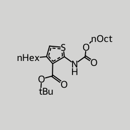 CCCCCCCCOC(=O)Nc1scc(CCCCCC)c1C(=O)OC(C)(C)C